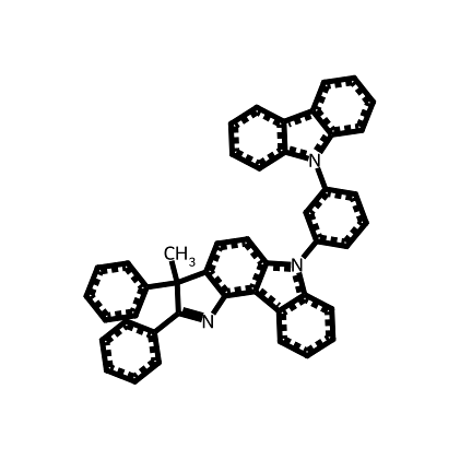 CC1(c2ccccc2)C(c2ccccc2)=Nc2c1ccc1c2c2ccccc2n1-c1cccc(-n2c3ccccc3c3ccccc32)c1